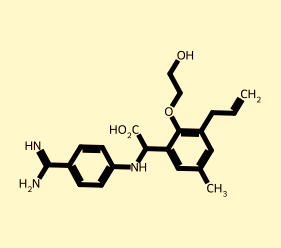 C=CCc1cc(C)cc(C(Nc2ccc(C(=N)N)cc2)C(=O)O)c1OCCO